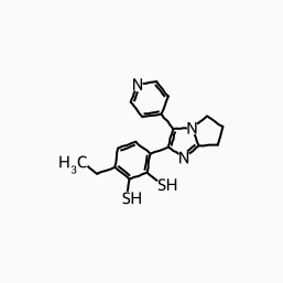 CCc1ccc(-c2nc3n(c2-c2ccncc2)CCC3)c(S)c1S